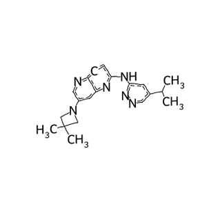 CC(C)c1cnnc(Nc2ccc3ncc(N4CC(C)(C)C4)cc3n2)c1